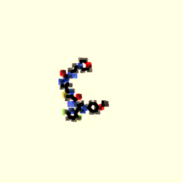 CCO[C@H]1CC[C@H](n2cc(NC(=O)c3csc(-c4cnn(C(=O)NCCCN5CCOCC5)c4)n3)c(-c3nc(F)ccc3F)n2)CC1